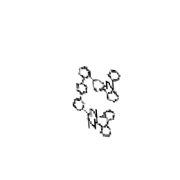 c1ccc(-n2c3ccccc3c3ccc(-c4ccccc4-c4ccc(-c5cccc(-c6cnc7c8ccccc8c8ccccc8c7n6)c5)cc4)cc32)cc1